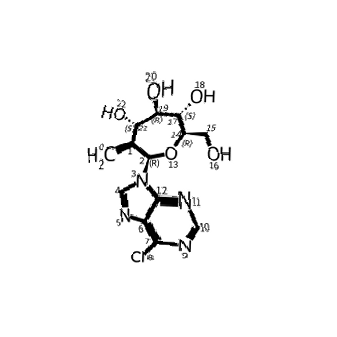 C=C1[C@H](n2cnc3c(Cl)ncnc32)O[C@H](CO)[C@@H](O)[C@H](O)[C@H]1O